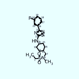 CCS(=O)(=O)N(C)C[C@H]1CC[C@H](Nc2nc(-c3cccc(F)c3)no2)CC1